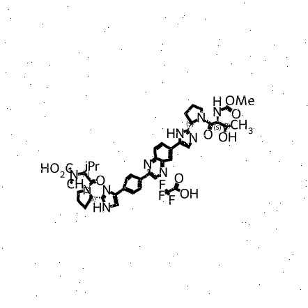 COC(=O)N[C@H](C(=O)N1CCC[C@H]1c1ncc(-c2ccc3nc(-c4ccc(-c5c[nH]c([C@@H]6CCCN6C(=O)[C@H](C(C)C)N(C)C(=O)O)n5)cc4)cnc3c2)[nH]1)[C@@H](C)O.O=C(O)C(F)(F)F